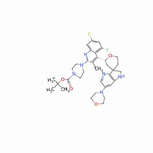 Cc1c(N2CCN(C(=O)OC(C)(C)C)CC2)nc2cc(F)cc(F)c2c1[C@H]1CC2(CCO1)CNc1cc(N3CCOCC3)cnc12